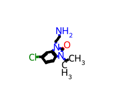 CC(C)n1c(=O)n(CCN)c2cc(Cl)ccc21